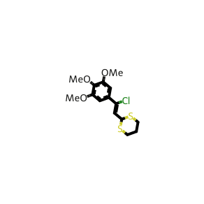 COc1cc(/C(Cl)=C/C2SCCCS2)cc(OC)c1OC